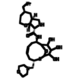 CC(C)C[C@@H]1CCO[C@@H]2[C@H](CN[C@@H]2C(=O)N[C@@H]2C/C=C\C[C@@H](CN3CCOCC3)SC3OC2C(O)C(O)C3O)C1